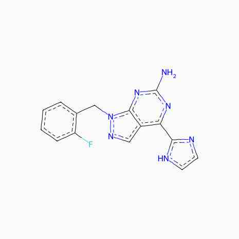 Nc1nc(-c2ncc[nH]2)c2cnn(Cc3ccccc3F)c2n1